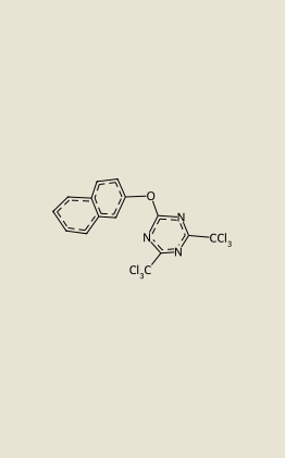 ClC(Cl)(Cl)c1nc(Oc2ccc3ccccc3c2)nc(C(Cl)(Cl)Cl)n1